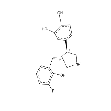 Oc1ccc([C@H]2CNC[C@@H]2Cc2cccc(F)c2O)cc1O